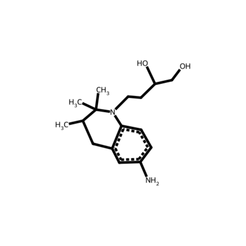 CC1Cc2cc(N)ccc2N(CCC(O)CO)C1(C)C